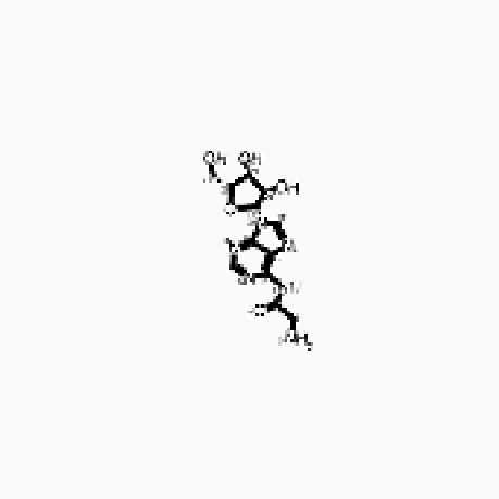 NCC(=O)Nc1ncnc2c1ncn2[C@@H]1O[C@H](CO)[C@@H](O)[C@H]1O